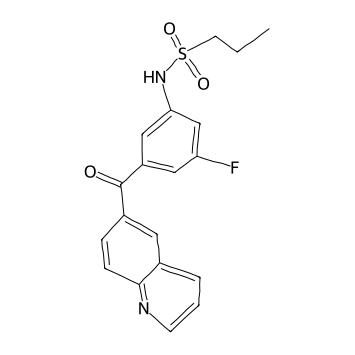 CCCS(=O)(=O)Nc1cc(F)cc(C(=O)c2ccc3ncccc3c2)c1